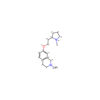 CCCN1CCc2ccc(OCCC3CCCN3C)cc2C1